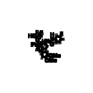 COc1ccc([C@@]23CC[C@@H](NC(=O)Nc4cccc(F)c4)C[C@@H]2N(C(C)C)CC3)cc1OC.O=C(O)C(F)(F)F